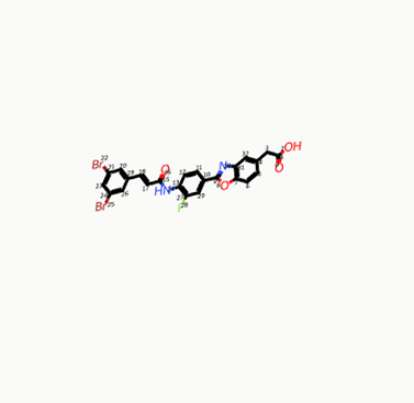 O=C(O)Cc1ccc2oc(-c3ccc(NC(=O)C=Cc4cc(Br)cc(Br)c4)c(F)c3)nc2c1